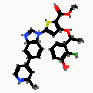 COC(=O)c1sc(-n2cnc3cc(-c4ccnc(C)c4)ccc32)cc1OC(C)c1cccc(O)c1Cl